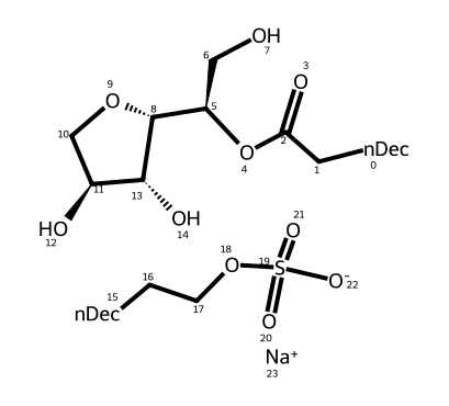 CCCCCCCCCCCC(=O)O[C@H](CO)[C@H]1OC[C@H](O)[C@H]1O.CCCCCCCCCCCCOS(=O)(=O)[O-].[Na+]